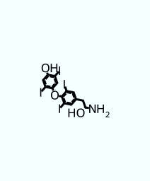 NC(O)Cc1cc(I)c(Oc2cc(I)c(O)cc2I)c(I)c1